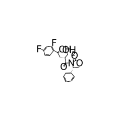 C=C(C[C@H](CO)C(=O)N1C(=O)OC[C@@H]1c1ccccc1)c1ccc(F)cc1F